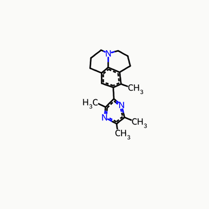 Cc1nc(C)c(-c2cc3c4c(c2C)CCCN4CCC3)nc1C